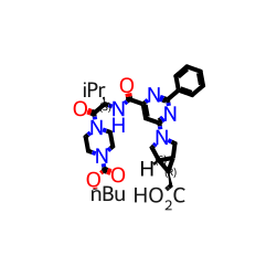 CCCCOC(=O)N1CCN(C(=O)[C@@H](NC(=O)c2cc(N3CC4[C@@H](CC(=O)O)[C@@H]4C3)nc(-c3ccccc3)n2)C(C)C)CC1